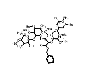 CCCCOCC(O[C@@H](OP)C(C)C)[C@@H](CO[C@H](OC(C(=O)OCc1ccccc1)[C@@H](COCCCC)O[C@@H]1O[C@@H](C)[C@H](OCCCC)C(OCCCC)C1O[C@@H]1O[C@@H](C)[C@H](OCCCC)C(C)C1O)[C@H](C)OCCCC)OCCCC